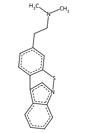 CN(C)CCc1ccc2c(c1)Sn1cc-2c2ccccc21